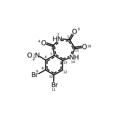 O=c1[nH]c(=O)c2c([N+](=O)[O-])c(Br)c(Br)cc2[nH]c1=O